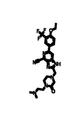 CCOc1ccc(-c2cc3[nH]c(CN4CCN(CCN(C)C)C(=O)C4)nc3c(C#N)n2)cc1C(F)(F)F